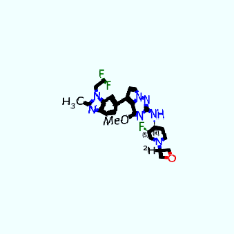 [2H]C1(N2CC[C@@H](Nc3nc(OC)c4c(-c5ccc6nc(C)n(CC(F)F)c6c5)ccn4n3)[C@@H](F)C2)COC1